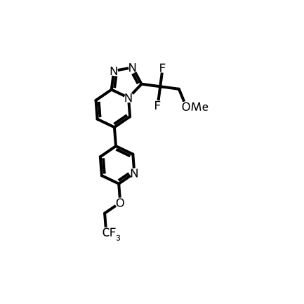 COCC(F)(F)c1nnc2ccc(-c3ccc(OCC(F)(F)F)nc3)cn12